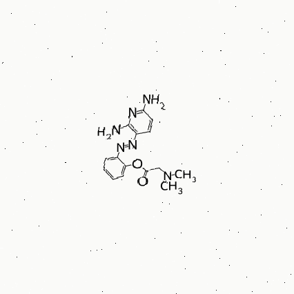 CN(C)CC(=O)Oc1ccccc1/N=N/c1ccc(N)nc1N